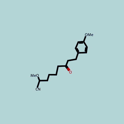 COc1ccc(CCC(=O)CCCCC(C#N)OC)cc1